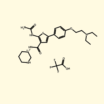 CCN(CC)CCOc1ccc(-c2cc(C(=O)N[C@H]3CCCNC3)c(NC(N)=O)s2)cc1.O=C(O)C(F)(F)F